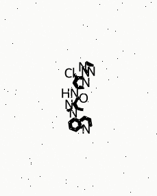 Cc1c(C(=O)Nc2cnc(-n3nccn3)c(Cl)c2)ncn1-c1cccc2ncccc12